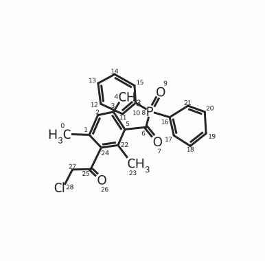 Cc1cc(C)c(C(=O)P(=O)(c2ccccc2)c2ccccc2)c(C)c1C(=O)CCl